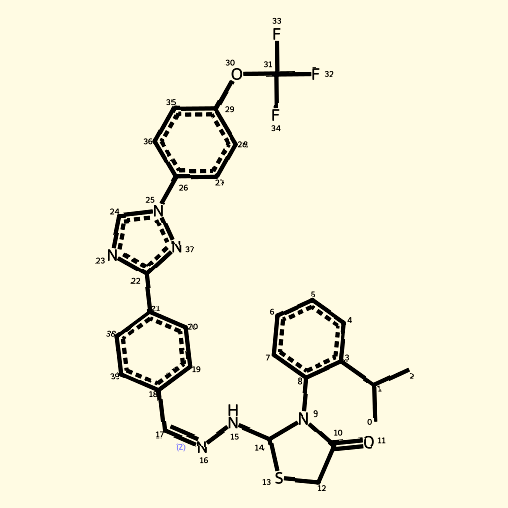 CC(C)c1ccccc1N1C(=O)CSC1N/N=C\c1ccc(-c2ncn(-c3ccc(OC(F)(F)F)cc3)n2)cc1